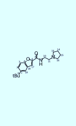 CC(C)(C)c1ccc2oc(C(=O)NCCN3CCCC3)cc2c1